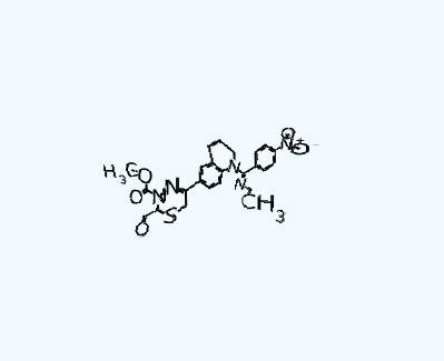 CCN=C(c1ccc([N+](=O)[O-])cc1)N1CCCc2cc(C3=NN(C(=O)OC)C(C=O)SC3)ccc21